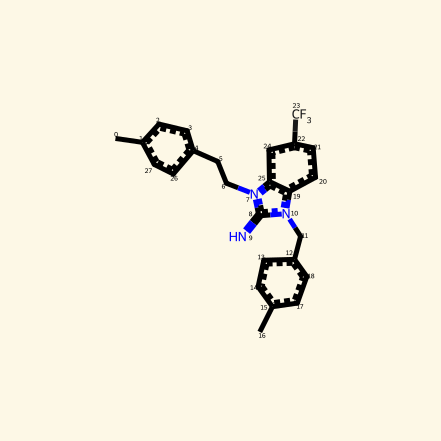 Cc1ccc(CCn2c(=N)n(Cc3ccc(C)cc3)c3ccc(C(F)(F)F)cc32)cc1